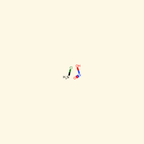 O=NO.[SiH3]Cl